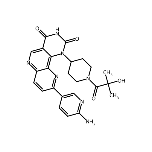 CC(C)(O)C(=O)N1CCC(n2c(=O)[nH]c(=O)c3cnc4ccc(-c5ccc(N)nc5)nc4c32)CC1